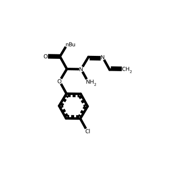 C=C/N=C\N(N)C(Oc1ccc(Cl)cc1)C(=O)CCCC